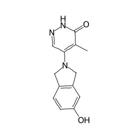 Cc1c(N2Cc3ccc(O)cc3C2)cn[nH]c1=O